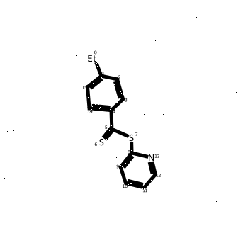 CCc1ccc(C(=S)Sc2ccccn2)cc1